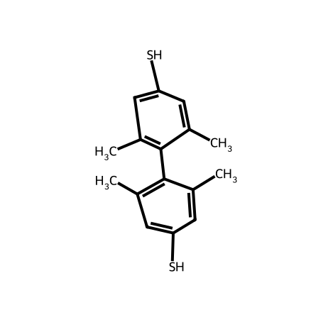 Cc1cc(S)cc(C)c1-c1c(C)cc(S)cc1C